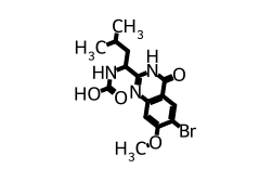 COc1cc2nc(C(CC(C)C)NC(=O)O)[nH]c(=O)c2cc1Br